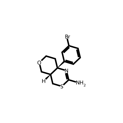 NC1=N[C@@]2(c3cccc(Br)c3)CCOC[C@H]2CS1